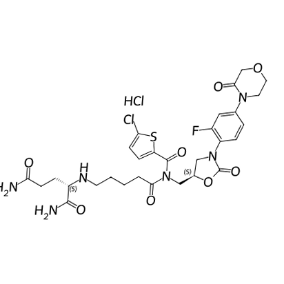 Cl.NC(=O)CC[C@H](NCCCCC(=O)N(C[C@H]1CN(c2ccc(N3CCOCC3=O)cc2F)C(=O)O1)C(=O)c1ccc(Cl)s1)C(N)=O